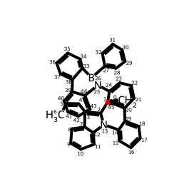 C=Cc1c(/C=C\C)c2ccccc2n1-c1ccccc1-c1cccc(N2B(c3ccccc3)c3ccccc3-c3ccccc32)c1